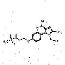 Cc1nc2c(N)nc3cc(OCCNS(C)(=O)=O)ccc3c2n1CC(C)C